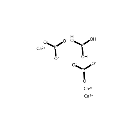 OP(O)O.[Ca+2].[Ca+2].[Ca+2].[O-]P([O-])[O-].[O-]P([O-])[O-]